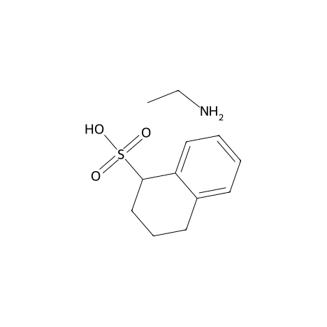 CCN.O=S(=O)(O)C1CCCc2ccccc21